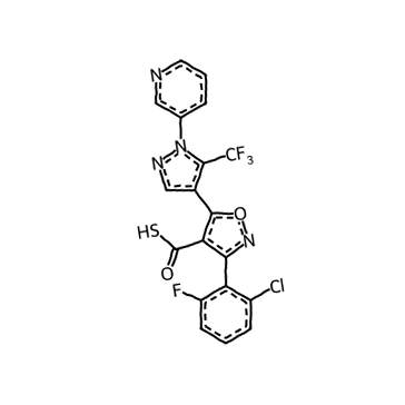 O=C(S)c1c(-c2c(F)cccc2Cl)noc1-c1cnn(-c2cccnc2)c1C(F)(F)F